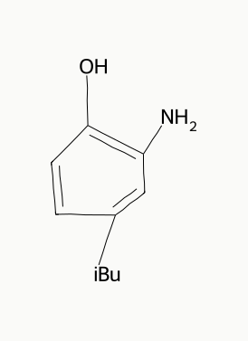 CCC(C)c1ccc(O)c(N)c1